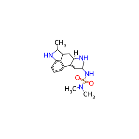 CC1Nc2cccc3c2C1C[C@H]1NCC(NS(=O)(=O)N(C)C)C=C31